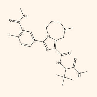 CNC(=O)c1cc(-c2nc(C(=O)NC(C(=O)NC)C(C)(C)C)c3n2CCCN(C)C3)ccc1F